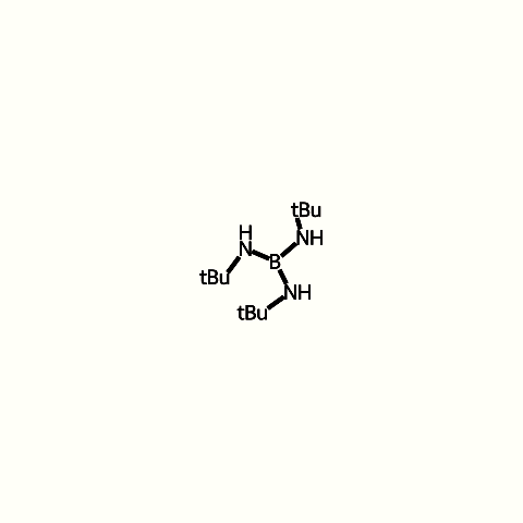 CC(C)(C)NB(NC(C)(C)C)NC(C)(C)C